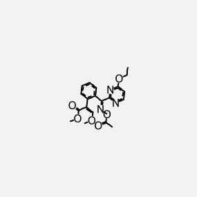 CCOc1ccnc(C(=NOC(C)=O)c2ccccc2C(=COC)C(=O)OC)n1